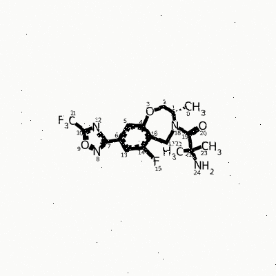 C[C@H]1COc2cc(-c3noc(C(F)(F)F)n3)cc(F)c2CN1C(=O)C(C)(C)N